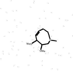 COC1/C=C\CCN(C)CC1OC